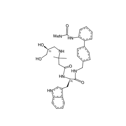 CNC(=O)Nc1ccccc1-c1ccc(CNC(=O)[C@@H](Cc2c[nH]c3ccccc23)NC(=O)CC(C)(C)NC[C@H](O)CO)cc1